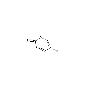 CC(C)(C)c1ccc(=O)sc1